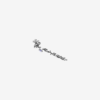 C=C=C=C=C=C=C=C=C=C=C=C=C=C/C=C\CNC(=O)OC(C)(C)C